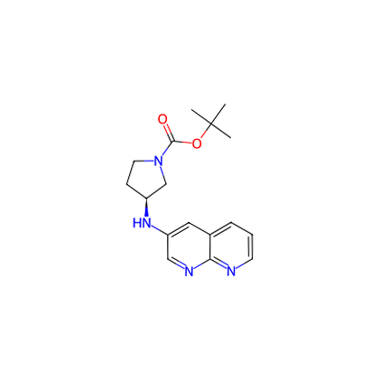 CC(C)(C)OC(=O)N1CC[C@H](Nc2cnc3ncccc3c2)C1